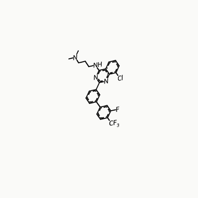 CN(C)CCCNc1nc(-c2cccc(-c3ccc(C(F)(F)F)c(F)c3)c2)nc2c(Cl)cccc12